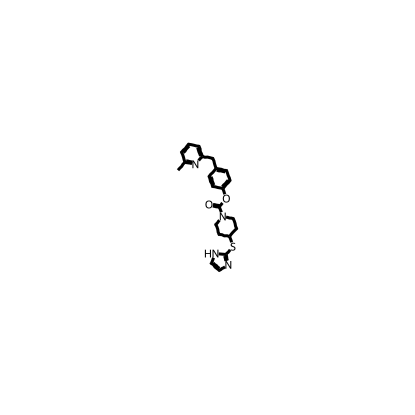 Cc1cccc(Cc2ccc(OC(=O)N3CCC(Sc4ncc[nH]4)CC3)cc2)n1